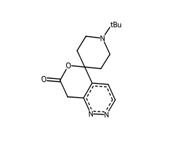 CC(C)(C)N1CCC2(CC1)OC(=O)Cc1nnccc12